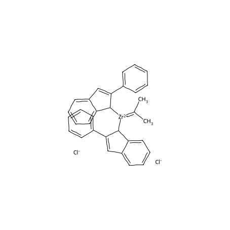 C[C](C)=[Zr+2]([CH]1C(c2ccccc2)=Cc2ccccc21)[CH]1C(c2ccccc2)=Cc2ccccc21.[Cl-].[Cl-]